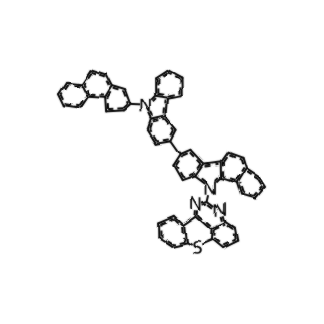 c1ccc2c(c1)Sc1cccc3nc(-n4c5ccc(-c6ccc7c(c6)c6ccccc6n7-c6ccc7c(ccc8ccccc87)c6)cc5c5ccc6ccccc6c54)nc-2c13